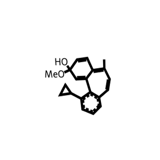 COC1(O)C=CC2=C(C)C=Cc3cccc(C4CC4)c3C2=C1